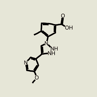 COc1cncc(C2=CN(c3cc(C(=O)O)ccc3C)NN2)c1